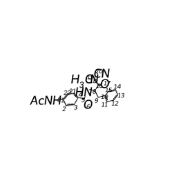 CC(=O)Nc1ccc(C(=O)NC(Cc2ccccc2)C(=O)N(C)C#N)cc1